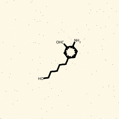 Nc1ccc(CCCCCO)cc1C=O